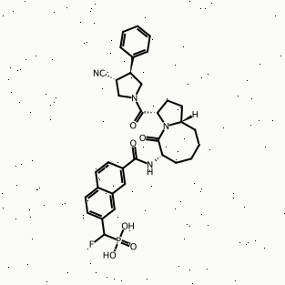 N#C[C@H]1CN(C(=O)[C@@H]2CC[C@@H]3CCCC[C@H](NC(=O)c4ccc5ccc(C(F)P(=O)(O)O)cc5c4)C(=O)N32)C[C@@H]1c1ccccc1